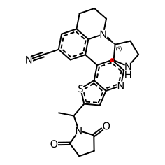 CC(c1cc2nccc(-c3cc(C#N)cc4c3N([C@H]3CCNC3)CCC4)c2s1)N1C(=O)CCC1=O